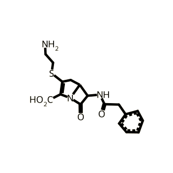 NCCSC1=C(C(=O)O)N2C(=O)C(NC(=O)Cc3ccccc3)C2C1